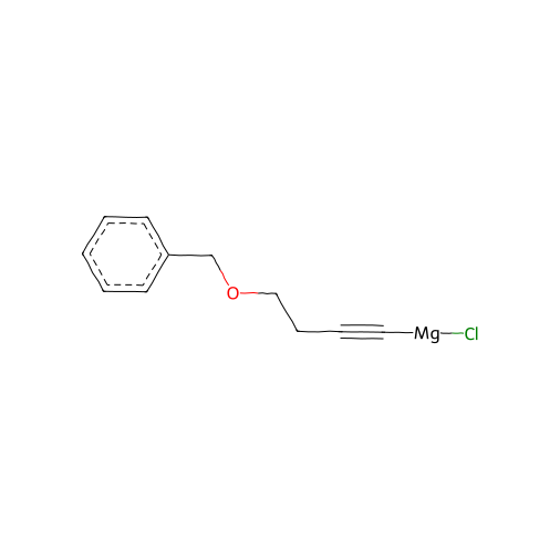 [Cl][Mg][C]#CCCOCc1ccccc1